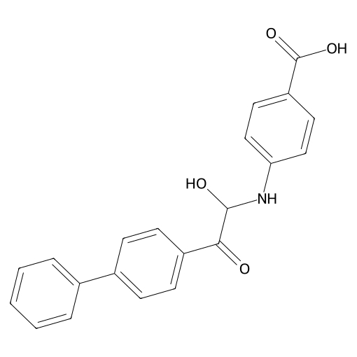 O=C(O)c1ccc(NC(O)C(=O)c2ccc(-c3ccccc3)cc2)cc1